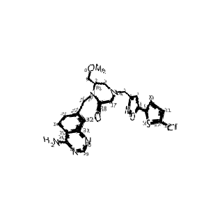 COC[C@H]1CN(Cc2cc(-c3ccc(Cl)s3)on2)CC(=O)N1Cc1ccc2c(N)ncnc2c1